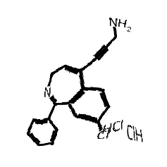 Cl.Cl.NCC#CC1=CCN=C(c2ccccc2)c2cc(Cl)ccc21